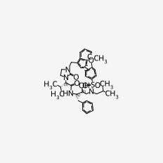 COc1ccc(S(=O)(=O)N(CC(C)C)C[C@H](O)[C@H](Cc2ccccc2)NC(=O)[C@H](C(C)C)N2CCN(Cc3csc4ccccc34)C2=O)cc1